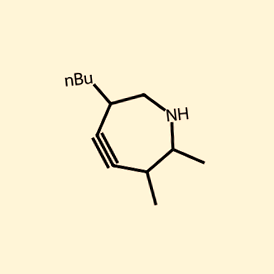 CCCCC1C#CC(C)C(C)NC1